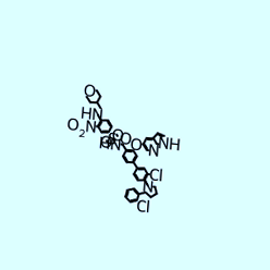 O=C(NS(=O)(=O)c1ccc(NCC2CCOCC2)c([N+](=O)[O-])c1)c1ccc(-c2ccc(N3CCCC3c3ccccc3Cl)c(Cl)c2)cc1Oc1cnc2[nH]ccc2c1